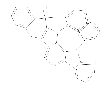 CC1(C)c2ccccc2Sc2c1n(-c1ccccc1)c1c2ccc2c3ccccc3n(-c3ccccc3)c21